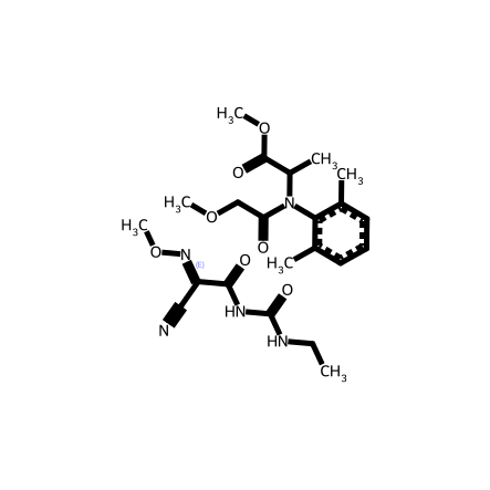 CCNC(=O)NC(=O)/C(C#N)=N/OC.COCC(=O)N(c1c(C)cccc1C)C(C)C(=O)OC